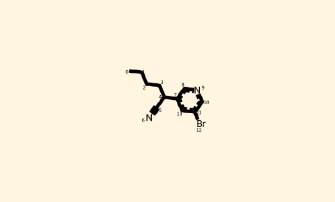 CCCCC(C#N)c1cncc(Br)c1